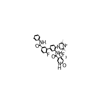 C[C@@H]1CN(c2ccc(-c3cc(C(=O)Nc4ccccc4)ccc3F)cc2NC(=O)c2c[nH]c(=O)cc2C(F)(F)F)C[C@H](C)N1C